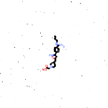 CCCCN=C(N)c1ccc(C2CC(C=C3CCN(CC(=O)O)CC3)ON2)cc1